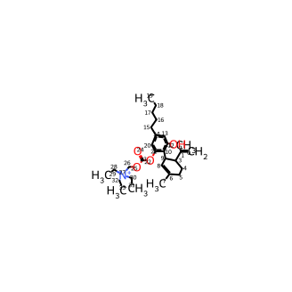 C=C(C)C1CCC(C)=CC1c1c(O)cc(CCCCC)cc1OC(=O)OC[N+](CC)(CC)CC